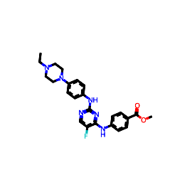 CCN1CCN(c2ccc(Nc3ncc(F)c(Nc4ccc(C(=O)OC)cc4)n3)cc2)CC1